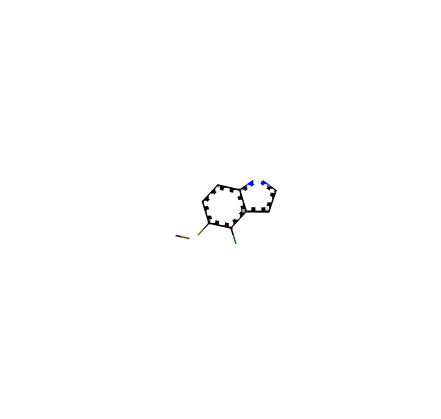 CCSc1ccc2[nH]ccc2c1Cl